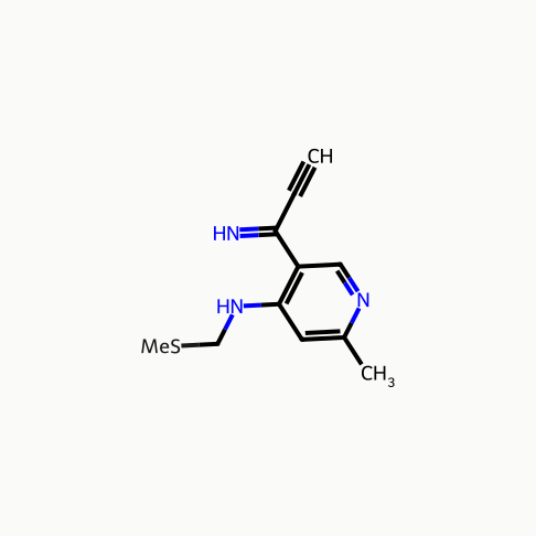 C#CC(=N)c1cnc(C)cc1NCSC